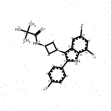 CC(C)(O)C(=O)N[C@H]1C[C@@H](c2c(-c3ccc(F)cc3)[nH]c3c(F)cc(F)cc32)C1